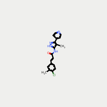 Cc1cc(C=CC(=O)Nc2[nH]nc(-c3ccncc3)c2C)ccc1Cl